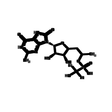 CCC(O)(CC)P(=O)(O)OC(C)CC1O[C@@H](n2c(=O)[nH]c3c(=O)[nH]c(N)nc32)[C@H](O)[C@@H]1O